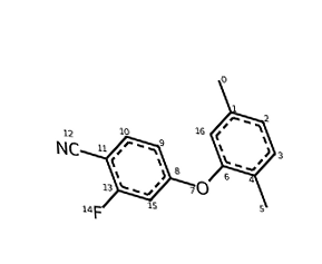 Cc1ccc(C)c(Oc2ccc(C#N)c(F)c2)c1